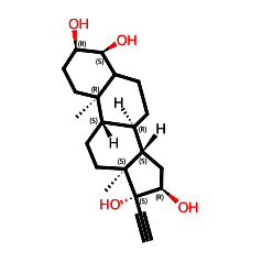 C#C[C@]1(O)[C@H](O)C[C@H]2[C@@H]3CCC4[C@H](O)[C@H](O)CC[C@]4(C)[C@H]3CC[C@@]21C